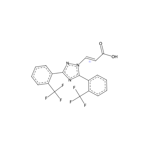 O=C(O)/C=C/n1nc(-c2ccccc2C(F)(F)F)nc1-c1ccccc1C(F)(F)F